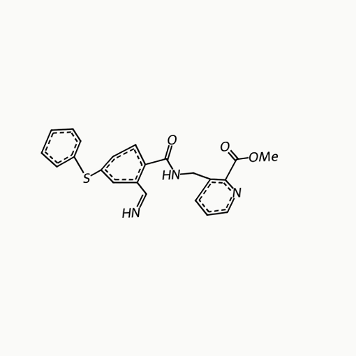 COC(=O)c1ncccc1CNC(=O)c1ccc(Sc2ccccc2)cc1C=N